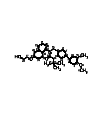 COc1ccc(-c2ccc(CN(C(=O)CC(C)(C)C)c3nccc4cc(OCCO)ccc34)cc2)cc1C